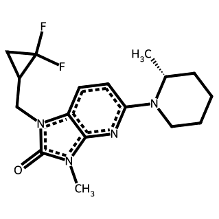 C[C@@H]1CCCCN1c1ccc2c(n1)n(C)c(=O)n2CC1CC1(F)F